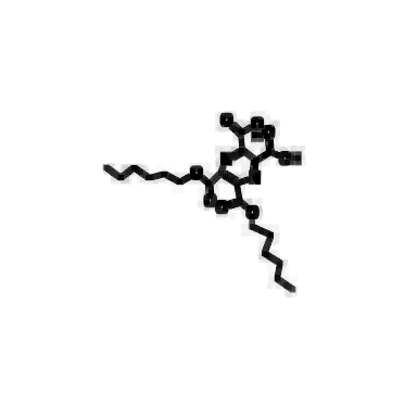 CCCCCCOC(=O)c1nc(C(=O)O)c(C(=O)O)nc1C(=O)OCCCCCC